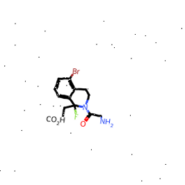 NCC(=O)N1CCc2c(Br)cccc2C1(F)CC(=O)O